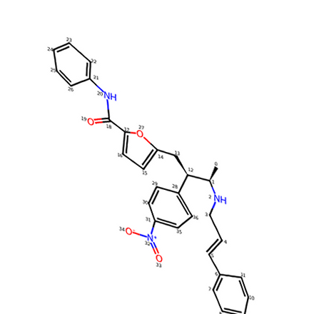 C[C@@H](NC/C=C/c1ccccc1)[C@H](Cc1ccc(C(=O)Nc2ccccc2)o1)c1ccc([N+](=O)[O-])cc1